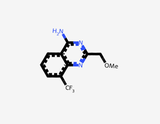 COCc1nc(N)c2cccc(C(F)(F)F)c2n1